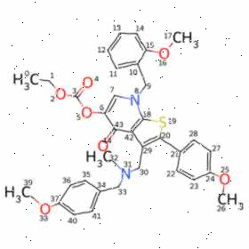 CCOC(=O)Oc1cn(Cc2ccccc2OC)c2sc(-c3ccc(OC)cc3)c(CN(C)Cc3ccc(OC)cc3)c2c1=O